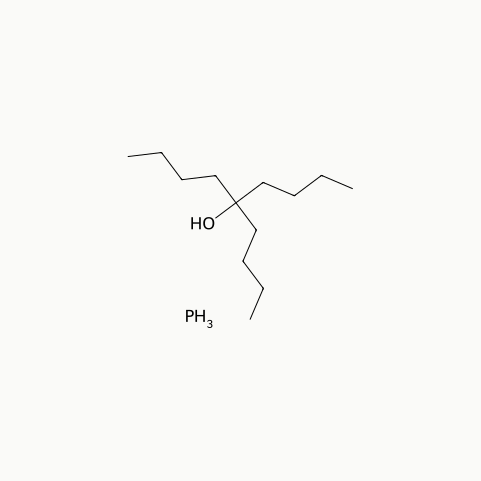 CCCCC(O)(CCCC)CCCC.P